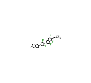 CC1CCc2cc(-c3cc(F)c(-c4cc(F)c5c(F)c(C#CC(F)(F)F)c(F)cc5c4)c(F)c3)ccc2C1